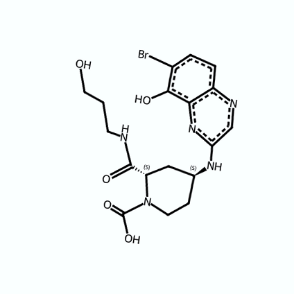 O=C(NCCCO)[C@@H]1C[C@@H](Nc2cnc3ccc(Br)c(O)c3n2)CCN1C(=O)O